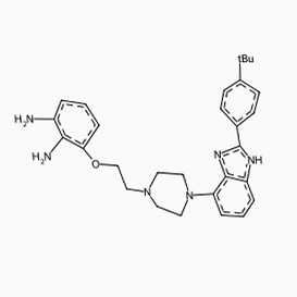 CC(C)(C)c1ccc(-c2nc3c(N4CCN(CCOc5cccc(N)c5N)CC4)cccc3[nH]2)cc1